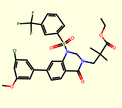 CCOC(=O)C(C)(C)CN1CN(S(=O)(=O)c2cccc(C(F)(F)F)c2)c2cc(-c3cc(Cl)cc(OC)c3)ccc2C1=O